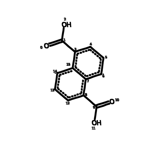 O=C(O)c1cc[c]c2c(C(=O)O)cc[c]c12